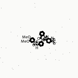 COc1ccc(S(=O)(=O)Nc2cccc(NC(=O)c3ccccc3-n3nc4c([n+]3[O-])CCc3c-4no[n+]3[O-])c2)cc1OC